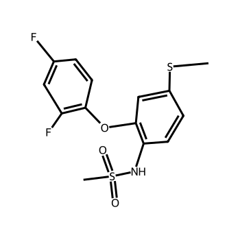 CSc1ccc(NS(C)(=O)=O)c(Oc2ccc(F)cc2F)c1